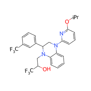 CC(C)Oc1cccc(N2CC(c3cccc(C(F)(F)F)c3)N(CC(O)C(F)(F)F)c3ccccc32)n1